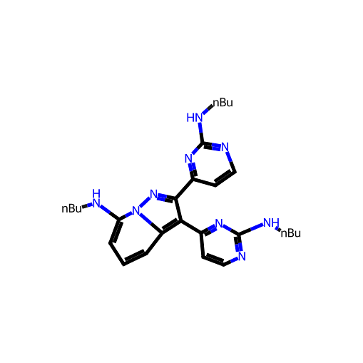 CCCCNc1nccc(-c2nn3c(NCCCC)cccc3c2-c2ccnc(NCCCC)n2)n1